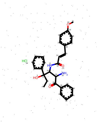 CCC(O)(c1ccccc1)C(NC(=O)C=Cc1ccc(OC)cc1)C(N)C(=O)c1ccccc1.Cl